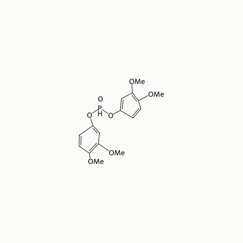 COc1ccc(O[PH](=O)Oc2ccc(OC)c(OC)c2)cc1OC